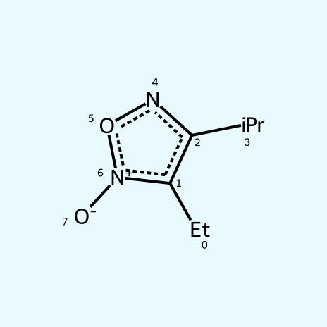 CCc1c(C(C)C)no[n+]1[O-]